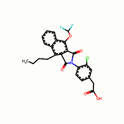 CCCCc1c2c(c(OC(F)F)c3ccccc13)C(=O)N(c1ccc(CC(=O)O)cc1Cl)C2=O